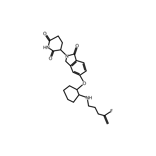 C=C(F)CCCNC1CCCCC1Oc1ccc2c(c1)CN(C1CCC(=O)NC1=O)C2=O